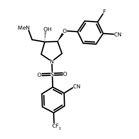 CNC[C@]1(O)CN(S(=O)(=O)c2ccc(C(F)(F)F)cc2C#N)C[C@@H]1Oc1ccc(C#N)c(F)c1